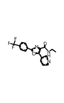 CCNC(=O)c1nc(-c2ccc(C(F)(F)F)cc2)oc1-c1cccnc1